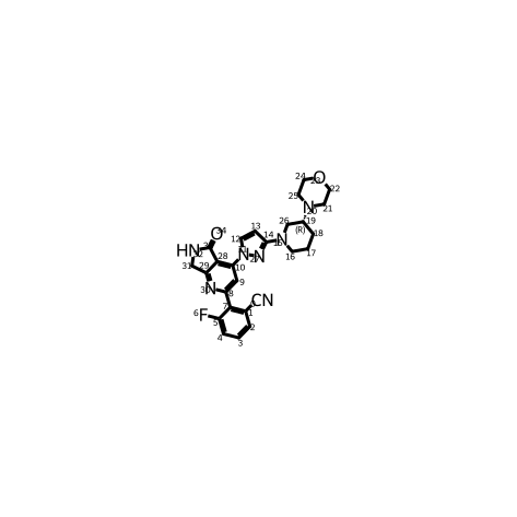 N#Cc1cccc(F)c1-c1cc(-n2ccc(N3CCC[C@@H](N4CCOCC4)C3)n2)c2c(n1)CNC2=O